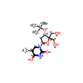 CC(C)(C)[Si](C)(C)O[C@H]1C[C@H](n2cc(C(F)(F)F)c(=O)[nH]c2=O)OC1(CO)CO